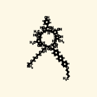 CCCCCOc1ccc(-c2ccc(-c3ccc(C(=O)N[C@H]4C[C@@H](O)C(NCCOCCOCCOCCN)NC(=O)C5[C@@H](O)[C@@H](C)CN5C(=O)C([C@@H](C)O)NC(=O)C([C@H](O)[C@@H](O)c5ccc(O)cc5)NC(=O)C5C[C@@H](O)CN5C(=O)C([C@@H](C)O)NC4=O)cc3)cc2)cc1